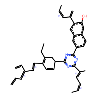 C=C/C=C(C=C)/C=C/C1=C(CC)CC(c2nc(/C(C)=C/C=C\C)nc(-c3ccc4cc(O)c(C(=C)/C=C\C)cc4c3)n2)C=C1